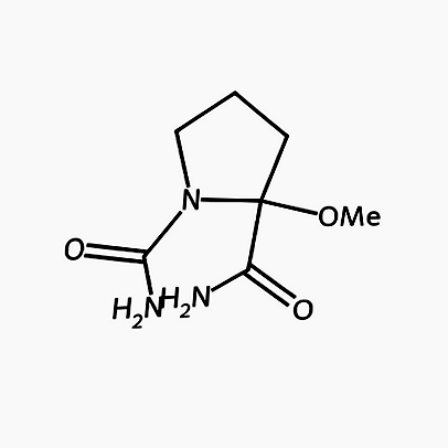 COC1(C(N)=O)CCCN1C(N)=O